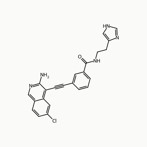 Nc1ncc2ccc(Cl)cc2c1C#Cc1cccc(C(=O)NCCc2c[nH]cn2)c1